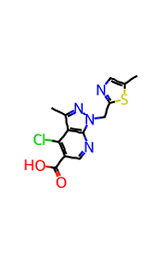 Cc1cnc(Cn2nc(C)c3c(Cl)c(C(=O)O)cnc32)s1